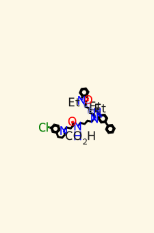 CCC(/C=C1\Oc2ccccc2N1CC)=C\c1n(CC)c2ccc(-c3ccccc3)cc2[n+]1CCCCNC(=O)CCN1c2ccc(Cl)cc2CCC1C(=O)O